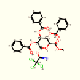 COC(=O)C1O[C@H](OC(=N)C(Cl)(Cl)Cl)C(OC(=O)c2ccccc2)C(OC(=O)c2ccccc2)[C@@H]1OC(=O)c1ccccc1